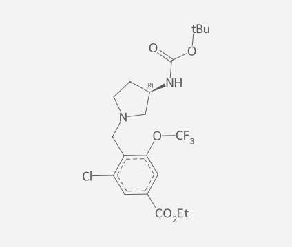 CCOC(=O)c1cc(Cl)c(CN2CC[C@@H](NC(=O)OC(C)(C)C)C2)c(OC(F)(F)F)c1